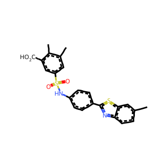 Cc1ccc2nc(-c3ccc(NS(=O)(=O)c4cc(C)c(C)c(C(=O)O)c4)cc3)sc2c1